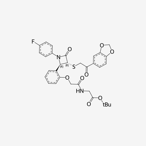 CC(C)(C)OC(=O)CNC(=O)COc1ccccc1[C@@H]1[C@@H](SCC(=O)c2ccc3c(c2)OCO3)C(=O)N1c1ccc(F)cc1